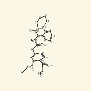 CCOc1cc(CC(=O)NC(c2ccccc2N2CCCCC2)C(C)C)ccc1C(=O)O